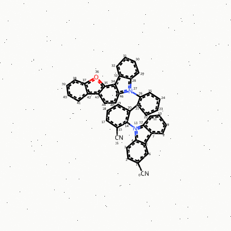 N#Cc1ccc2c(c1)c1ccccc1n2-c1c(C#N)cccc1-c1ccccc1-n1c2ccccc2c2c3oc4ccccc4c3ccc21